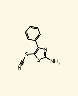 N#CSc1sc(N)nc1-c1ccccc1